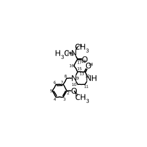 COc1ccccc1CN1CCNC(=O)C1CC(=O)N(C)C